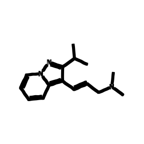 CC(C)c1nn2ccccc2c1/C=C/CN(C)C